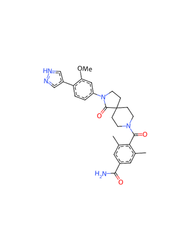 COc1cc(N2CCC3(CCN(C(=O)c4c(C)cc(C(N)=O)cc4C)CC3)C2=O)ccc1-c1cn[nH]c1